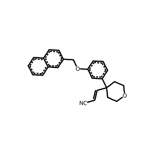 N#C/C=C/C1(c2cccc(OCc3ccc4ccccc4c3)c2)CCOCC1